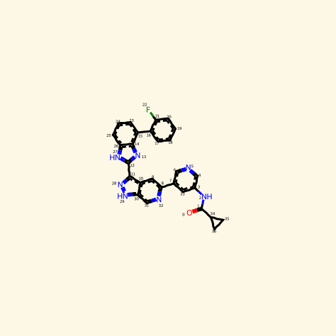 O=C(Nc1cncc(-c2cc3c(-c4nc5c(-c6ccccc6F)cccc5[nH]4)n[nH]c3cn2)c1)C1CC1